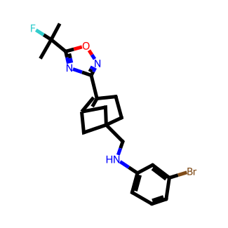 CC(C)(F)c1nc(C2=C3CC(CNc4cccc(Br)c4)(CC2)C3)no1